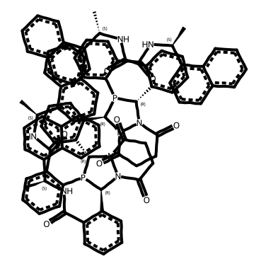 C[C@H](NC(=O)c1ccccc1[C@@H]1N2C(=O)CCC(=O)N2[C@@H](c2ccccc2[C@@H]2N3C(=O)CCC(=O)N3[C@@H](c3ccccc3C(=O)N[C@@H](C)c3cccc4ccccc34)P2c2ccccc2C(=O)N[C@@H](C)c2cccc3ccccc23)P1c1ccccc1C(=O)N[C@@H](C)c1cccc2ccccc12)c1cccc2ccccc12